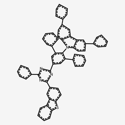 c1ccc(-c2ccc3c(c2)c2cc(-c4ccccc4)ccc2n3-c2c(-c3ccccc3)cc(-c3nc(-c4ccccc4)nc(-c4ccc5sc6ccccc6c5c4)n3)cc2-c2ccccc2)cc1